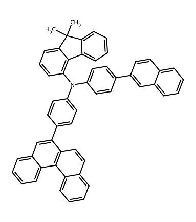 CC1(C)c2ccccc2-c2c(N(c3ccc(-c4ccc5ccccc5c4)cc3)c3ccc(-c4cc5ccccc5c5c4ccc4ccccc45)cc3)cccc21